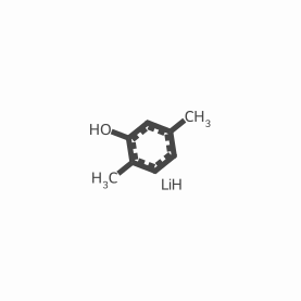 Cc1ccc(C)c(O)c1.[LiH]